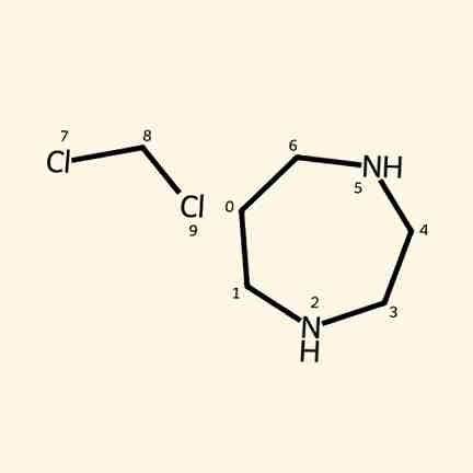 C1CNCCNC1.ClCCl